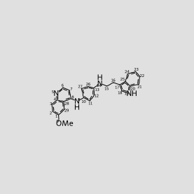 COc1ccc2nccc(Nc3ccc(NCCc4c[nH]c5ccccc45)cc3)c2c1